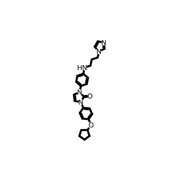 O=c1n(-c2ccc(NCCCn3ccnc3)cc2)ccn1-c1ccc(OC2CCCC2)cc1